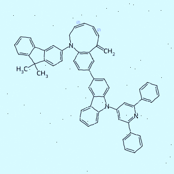 C=C1/C=C\C=C/CN(c2ccc3c(c2)-c2ccccc2C3(C)C)c2ccc(-c3ccc4c(c3)c3ccccc3n4-c3cc(-c4ccccc4)nc(-c4ccccc4)c3)cc21